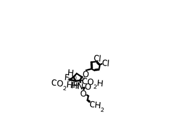 C=CCOC(=O)N[C@@]1(C(=O)O)[C@H](OCc2ccc(Cl)c(Cl)c2)C[C@@H]2[C@H]1[C@@]2(F)C(=O)O